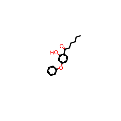 CCCCCC(=O)c1ccc(Oc2ccccc2)cc1O